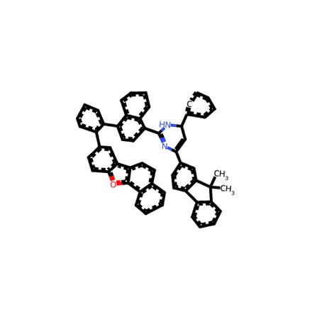 CC1(C)c2ccccc2-c2ccc(C3=CC(c4ccccc4)NC(c4ccc(-c5ccccc5-c5ccc6oc7c8ccccc8ccc7c6c5)c5ccccc45)=N3)cc21